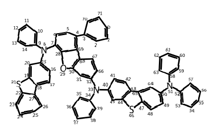 c1ccc(-c2ccc(N(c3ccccc3)c3ccc4c(c3)sc3ccccc34)c3oc4cc(N(c5ccccc5)c5ccc6c(c5)sc5ccc(N(c7ccccc7)c7ccccc7)cc56)ccc4c23)cc1